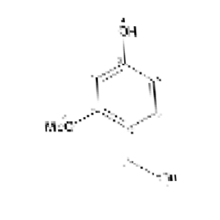 COc1cc(O)ccc1CC(C)(C)C